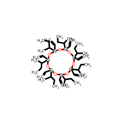 C=C[Si]1(C(C)CC)O[Si](C=C)(C(C)CC)O[Si](C=C)(C(C)CC)O[Si](C=C)(C(C)CC)O[Si](C=C)(C(C)CC)O[Si](C=C)(C(C)CC)O[Si](C=C)(C(C)CC)O1